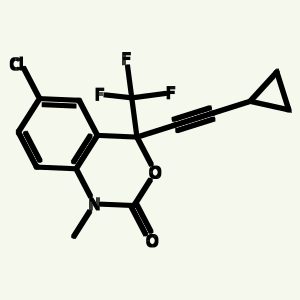 CN1C(=O)OC(C#CC2CC2)(C(F)(F)F)c2cc(Cl)ccc21